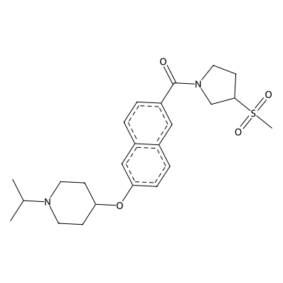 CC(C)N1CCC(Oc2ccc3cc(C(=O)N4CCC(S(C)(=O)=O)C4)ccc3c2)CC1